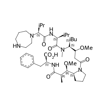 CC[C@H](C)[C@@H](C(CC(=O)N1CCC[C@H]1[C@H](OC)[C@@H](C)C(=O)N[C@@H](Cc1ccccc1)C(=O)O)OC)N(C)C(=O)[C@@H](NC(=O)[C@H](C(C)C)N1CCCNCC1)C(C)C